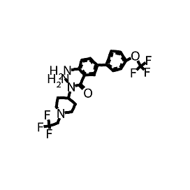 Nc1ccc(-c2ccc(OC(F)(F)F)cc2)cc1C(=O)N(N)C1CCN(CC(F)(F)F)CC1